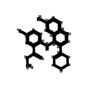 COC(=O)c1cc(F)ccc1Nc1c(C2=CCOCC2)cnc2ccc(Cl)cc12